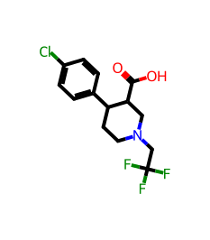 O=C(O)C1CN(CC(F)(F)F)CCC1c1ccc(Cl)cc1